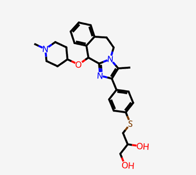 Cc1c(-c2ccc(SCC(O)CO)cc2)nc2n1CCc1ccccc1C2OC1CCN(C)CC1